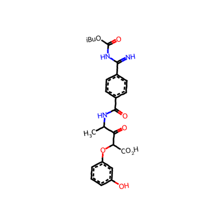 CC(C)COC(=O)NC(=N)c1ccc(C(=O)NC(C)C(=O)C(Oc2cccc(O)c2)C(=O)O)cc1